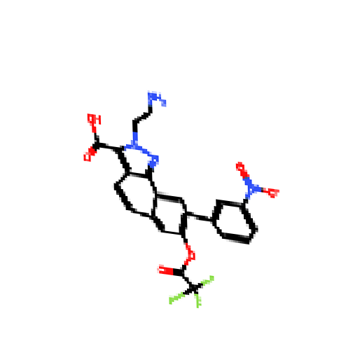 NCCn1nc2c(ccc3cc(OC(=O)C(F)(F)F)c(-c4cccc([N+](=O)[O-])c4)cc32)c1C(=O)O